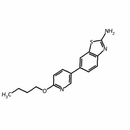 CCCCOc1ccc(-c2ccc3nc(N)sc3c2)cn1